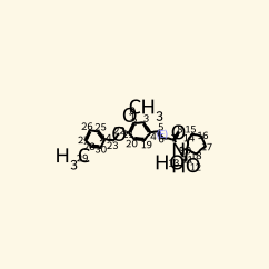 COc1cc(/C=C/C(=O)NC2(C(=O)O)CCCCC2)ccc1OCc1cccc(C)c1